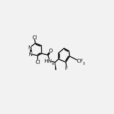 C[C@@H](NC(=O)c1cc(Cl)nnc1Cl)c1cccc(C(F)(F)F)c1F